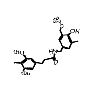 Cc1cc(CNC(=O)CCc2cc(C(C)(C)C)c(C)c(C(C)(C)C)c2)cc(COC(C)(C)C)c1O